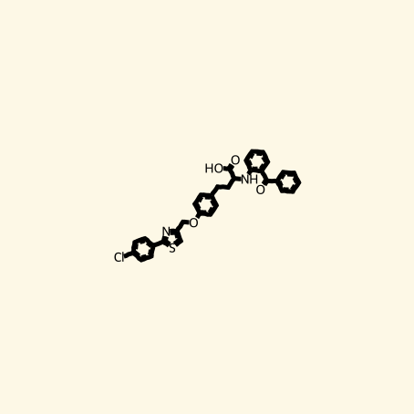 O=C(c1ccccc1)c1ccccc1NC(CCc1ccc(OCc2csc(-c3ccc(Cl)cc3)n2)cc1)C(=O)O